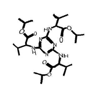 CC(C)OC(=O)C(Nc1nc(NC(C(=O)OC(C)C)C(C)C)nc(NC(C(=O)OC(C)C)C(C)C)n1)C(C)C